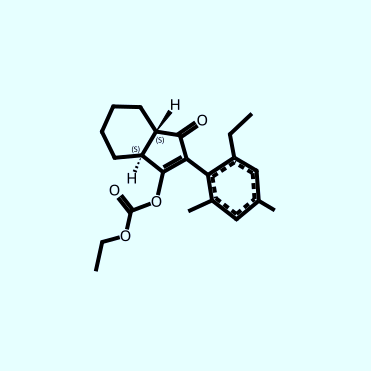 CCOC(=O)OC1=C(c2c(C)cc(C)cc2CC)C(=O)[C@H]2CCCC[C@H]12